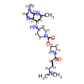 Cc1cc(NC2CCN(C(=O)O[C@H]3CCN(C(=O)/C=C/CN(C)C)C3)CC2)c2ncn(C(C)C)c2n1